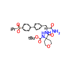 CC(C)S(=O)(=O)c1ccc(-c2ccc(C[C@H](NC(=O)C3(NC(=O)OC(C)(C)C)CCOCC3)C(N)=O)cc2)cc1